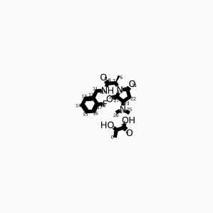 CC(O)C(=O)O.C[C@H](C(=O)NCc1ccccc1F)N1C(=O)CC(N(C)C)C1=O